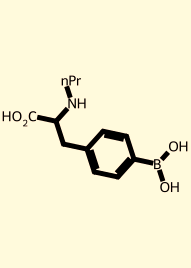 CCCNC(Cc1ccc(B(O)O)cc1)C(=O)O